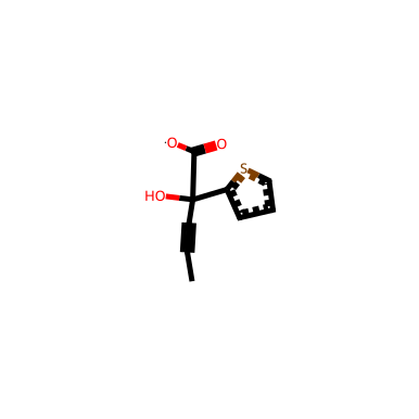 CC#CC(O)(C([O])=O)c1cccs1